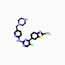 Cc1nc2ccc(-c3nc(Nc4ccc(CN5CCNCC5)cn4)ncc3F)cc2s1